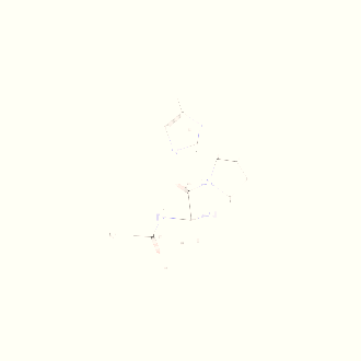 CCC1=CNC([C@@H]2CCCN2C(=O)[C@@](N)(NC(=O)OC)C(C)(C)C)N1